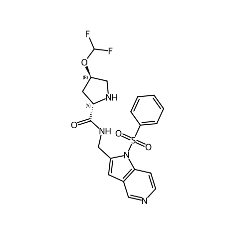 O=C(NCc1cc2cnccc2n1S(=O)(=O)c1ccccc1)[C@@H]1C[C@@H](OC(F)F)CN1